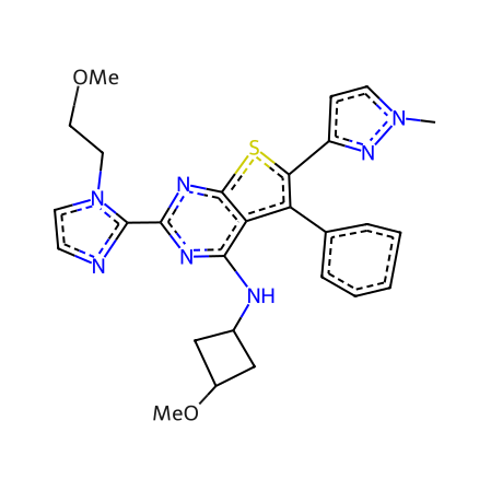 COCCn1ccnc1-c1nc(NC2CC(OC)C2)c2c(-c3ccccc3)c(-c3ccn(C)n3)sc2n1